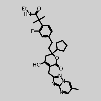 CCNC(=O)C(C)(C)c1ccc(CCC2(C3CCCC3)CC(O)=C(Cc3nc4ncc(C)cn4n3)C(=O)O2)cc1F